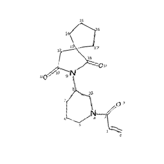 C=CC(=O)N1CCCC(N2C(=O)CC3(CCCC3)C2=O)C1